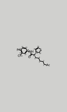 CC(=O)CCCCC[C@@H](C(=O)Nc1ccc(F)c(Cl)c1)N1C=CSC1